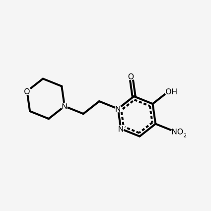 O=c1c(O)c([N+](=O)[O-])cnn1CCN1CCOCC1